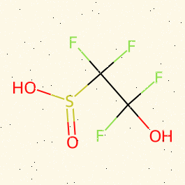 O=S(O)C(F)(F)C(O)(F)F